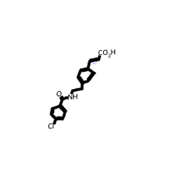 O=C(O)/C=C/c1ccc(CCNC(=O)c2ccc(Cl)cc2)cc1